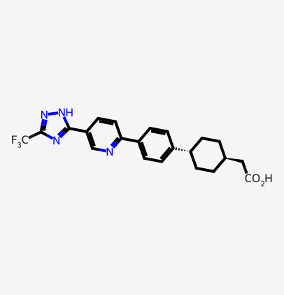 O=C(O)C[C@H]1CC[C@H](c2ccc(-c3ccc(-c4nc(C(F)(F)F)n[nH]4)cn3)cc2)CC1